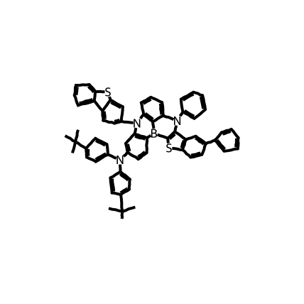 CC(C)(C)c1ccc(N(c2ccc(C(C)(C)C)cc2)c2ccc3c(c2)N(c2ccc4c(c2)sc2ccccc24)c2cccc4c2B3c2sc3ccc(-c5ccccc5)cc3c2N4c2ccccc2)cc1